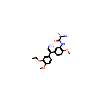 CCOc1cc(C(=CN)c2ccc(OC)c(NC(=O)[C@H](C)N)c2)ccc1OC